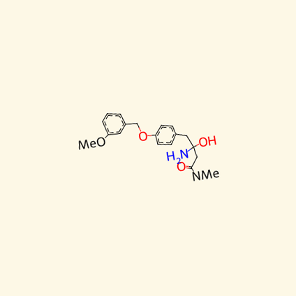 CNC(=O)CC(N)(O)Cc1ccc(OCc2cccc(OC)c2)cc1